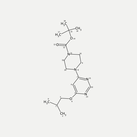 CC(C)COc1cc(N2CCN(C(=O)OC(C)(C)C)CC2)ncn1